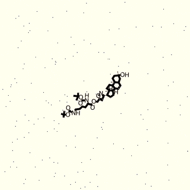 CC(C)(C)OC(=O)NCCCCC(NC(=O)OC(C)(C)C)C(=O)OCc1cc([C@H]2CC[C@H]3[C@@H]4CCC5C[C@](C)(O)CC[C@]5(C)C4CC[C@]23C)no1